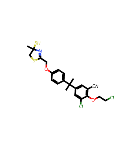 CC1(S)CSC(COc2ccc(C(C)(C)c3cc(Cl)c(OCCCl)c(C#N)c3)cc2)=N1